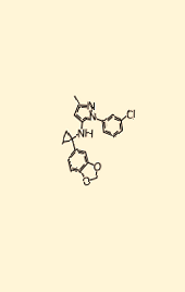 Cc1cc(NC2(c3ccc4c(c3)OCO4)CC2)n(-c2cccc(Cl)c2)n1